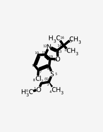 COC[C@H](C)Sc1c(Cl)ccc2nc(C(C)(C)C)oc12